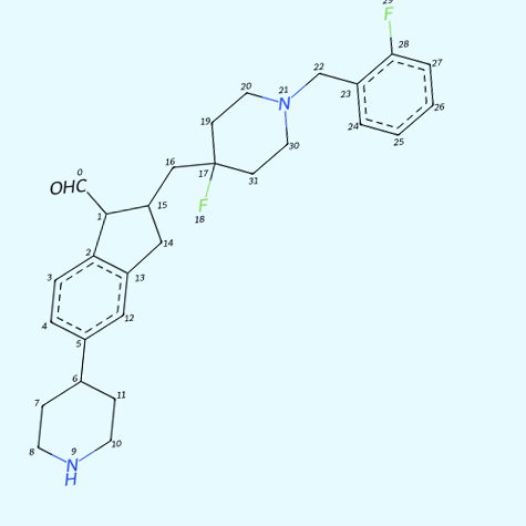 O=CC1c2ccc(C3CCNCC3)cc2CC1CC1(F)CCN(Cc2ccccc2F)CC1